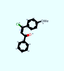 COc1ccc(/C(Cl)=C\C(=O)c2ccccc2)cc1